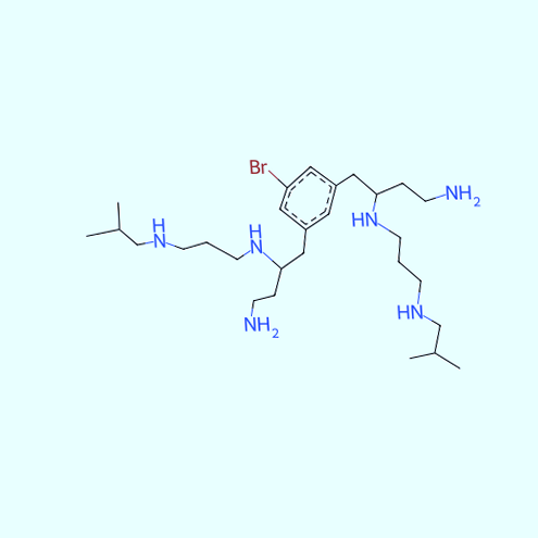 CC(C)CNCCCNC(CCN)Cc1cc(Br)cc(CC(CCN)NCCCNCC(C)C)c1